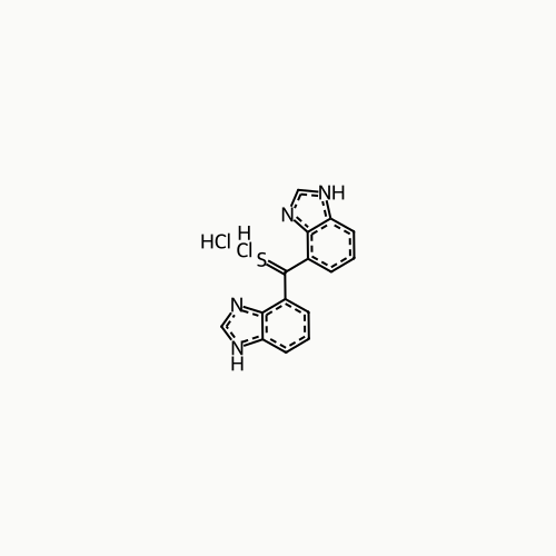 Cl.Cl.S=C(c1cccc2[nH]cnc12)c1cccc2[nH]cnc12